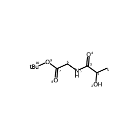 CC(O)C(=O)NCC(=O)OC(C)(C)C